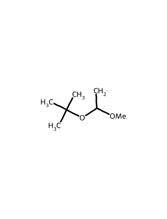 [CH2]C(OC)OC(C)(C)C